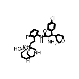 N[C@H](C(=O)Nc1cccc(F)c1CC[C@H]1CNC[C@@H]2CCCS(O)(O)N1C2)[C@@H](c1ccc(Cl)cc1)C1CCOCC1